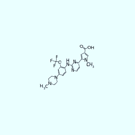 CN1CCN(c2ccc(Nc3nccc(-c4cc(C(=O)O)cn4C)n3)c(OC(F)(F)F)c2)CC1